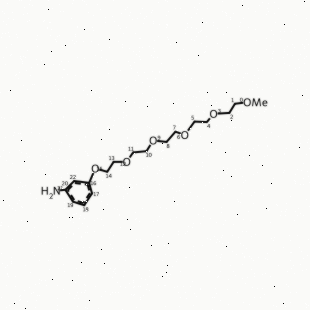 COCCOCCOCCOCCOCCOc1cccc(N)c1